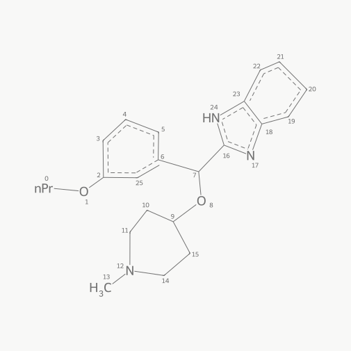 CCCOc1cccc(C(OC2CCN(C)CC2)c2nc3ccccc3[nH]2)c1